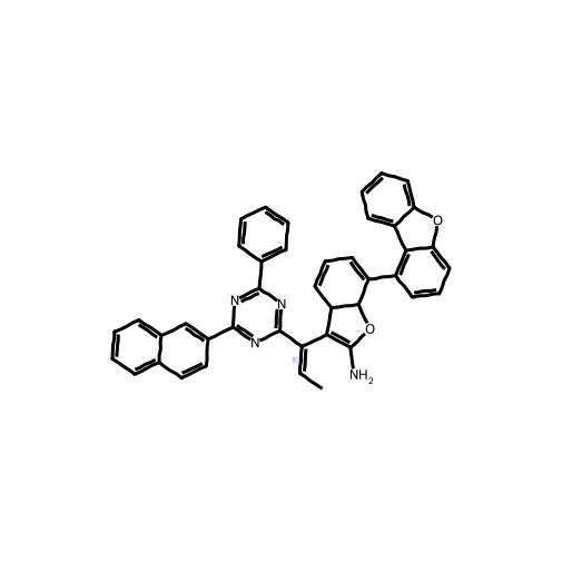 C/C=C(\C1=C(N)OC2C(c3cccc4oc5ccccc5c34)=CC=CC12)c1nc(-c2ccccc2)nc(-c2ccc3ccccc3c2)n1